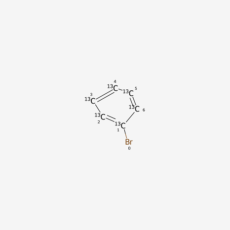 Br[13c]1[13cH][13cH][13cH][13cH][13cH]1